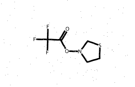 O=C(ON1CCSC1)C(F)(F)F